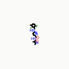 Cc1ccc(F)c(CNc2ccc(C(=O)Nc3onc(C)c3C)nn2)c1F